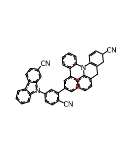 N#Cc1ccc2c3ccccc3n(-c3ccc(C#N)c(-c4cccc(-c5ccccc5N5C6=C(Cc7ccccc75)CC(C#N)C=C6)c4)c3)c2c1